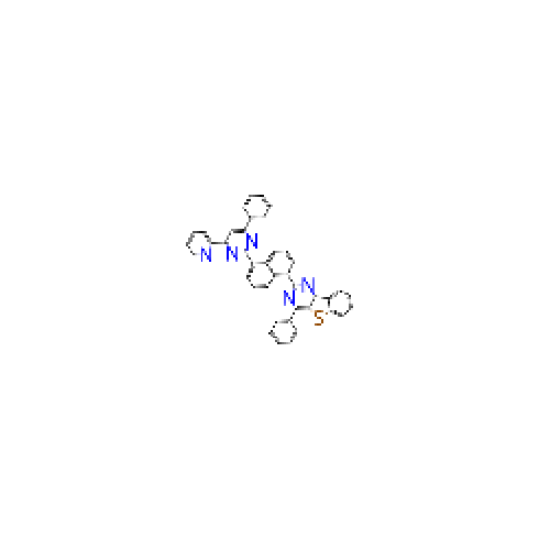 c1ccc(-c2cc(-c3ccccn3)nc(-c3cccc4c(-c5nc(-c6ccccc6)c6sc7ccccc7c6n5)cccc34)n2)cc1